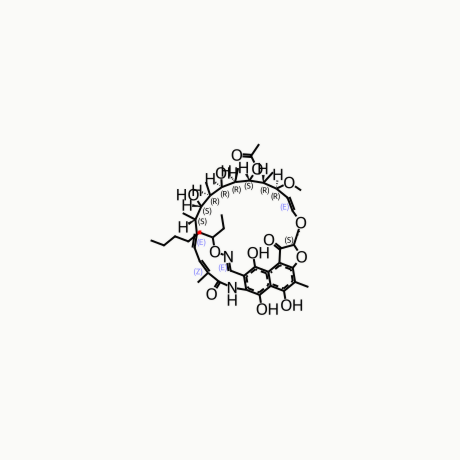 CCCCCC(CC)O/N=C/c1c2c(O)c3c(O)c(C)c4c(c3c1O)C(=O)[C@@](C)(O/C=C/[C@H](OC)[C@@H](C)[C@@H](OC(C)=O)[C@H](C)[C@H](O)[C@H](C)[C@@H](O)[C@@H](C)/C=C/C=C(/C)C(=O)N2)O4